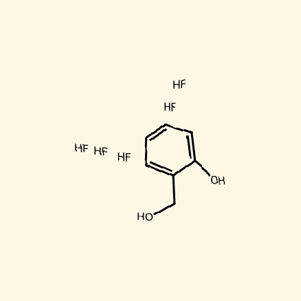 F.F.F.F.F.OCc1ccccc1O